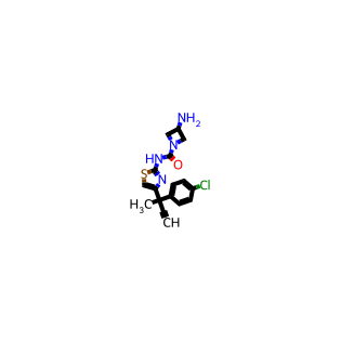 C#CC(C)(c1ccc(Cl)cc1)c1csc(NC(=O)N2CC(N)C2)n1